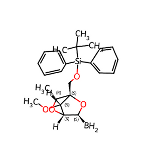 B[C@@H]1O[C@@]2(CO[Si](c3ccccc3)(c3ccccc3)C(C)(C)C)[C@@H](C)O[C@@H]1[C@@H]2OC